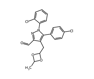 CC1OC(Cc2c(C=O)nn(-c3ccccc3Cl)c2-c2ccc(Cl)cc2)O1